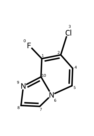 Fc1c(Cl)ccn2ccnc12